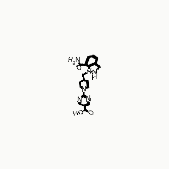 NC(=O)c1cccc2c1N(CC1CCN(c3ncc(C(=O)O)cn3)CC1)NC2